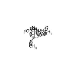 Cc1c2ccc(c1Cl)CN(CCN1CCN(C)CC1)Cc1ccc(OCc3ccnc(CC4(C)CCOCC4)n3)c(c1)C[C@H](C(=O)O)Oc1ncnc3sc(-c4ccc(F)cc4)c-2c13